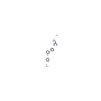 Cc1c(Nc2nccc3cc(CNC[C@@H](C)O)cnc23)cccc1-c1cccc(-c2nc3cc(CN4CC[C@@H](C)C4)cc(C#N)c3o2)c1C